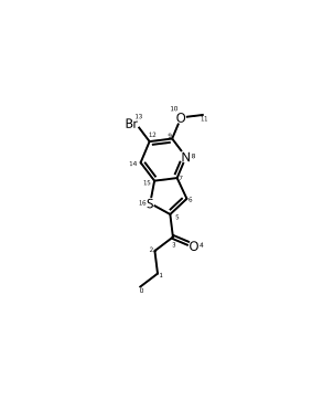 CCCC(=O)c1cc2nc(OC)c(Br)cc2s1